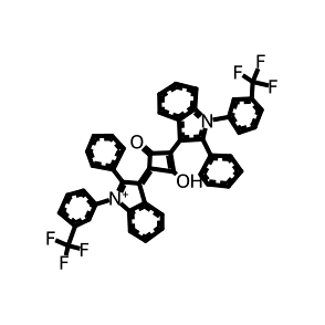 O=C1C(c2c(-c3ccccc3)n(-c3cccc(C(F)(F)F)c3)c3ccccc23)=C(O)/C1=C1/C(c2ccccc2)=[N+](c2cccc(C(F)(F)F)c2)c2ccccc21